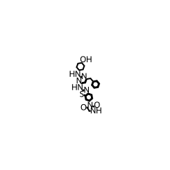 O=C1CNC(=O)N1c1ccc2nc(Nc3cc(Cc4ccccc4)nc(NC4CCC(O)CC4)n3)sc2c1